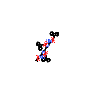 CC(C)(C)OC(=O)NCCCN(CCCCN(CCCNC(=O)OCC1c2ccccc2-c2ccccc21)C(=O)OCC1c2ccccc2-c2ccccc21)C(=O)OCC1c2ccccc2-c2ccccc21